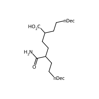 CCCCCCCCCCCCC(CCC(CCCCCCCCCCCC)C(=O)O)C(N)=O